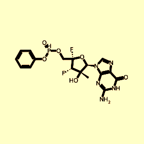 C[C@]1(O)[C@H](n2cnc3c(=O)[nH]c(N)nc32)O[C@](F)(CO[PH](=O)Oc2ccccc2)[C@H]1F